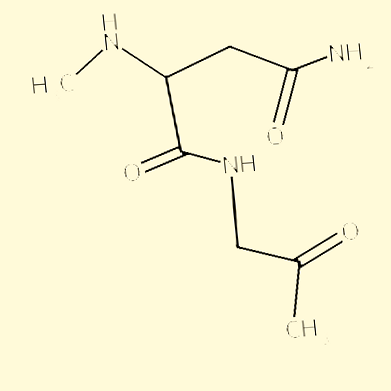 CNC(CC(N)=O)C(=O)NCC(C)=O